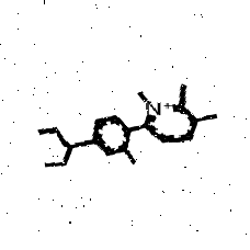 CCC(CC)c1ccc(-c2ccc(C)c(C)[n+]2C)c(C)c1